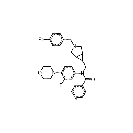 CCc1ccc(CN2CC3C(C2)C3CN(C(=O)c2ccncc2)c2ccc(N3CCOCC3)c(F)c2)cc1